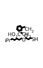 C=CC(=O)O.C=Cc1ccccc1.CC(C)CCCCCOC(=O)CCS